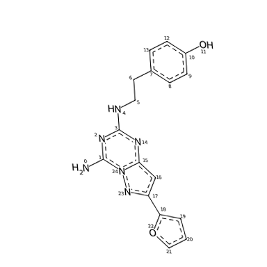 Nc1nc(NCCc2ccc(O)cc2)nc2cc(-c3ccco3)nn12